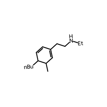 CCCCC1C=CC(CCNCC)=CC1C